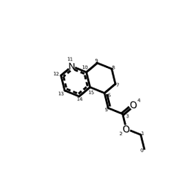 CCOC(=O)/C=C1\CCCc2ncccc21